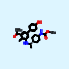 COC(=O)c1cc(-c2ccc(O)cc2)cc(NC(C)[C@H]2CC[C@H](NC(=O)OC(C)(C)C)CC2)c1C